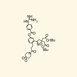 CC(C)(C)OC(=O)CC1(CC(=O)OC(C)(C)C)CC(c2cc(OC(=O)c3ccc(NC(=N)N)cc3)ccc2CCC(=O)N2CCS(=O)(=O)CC2)=NO1